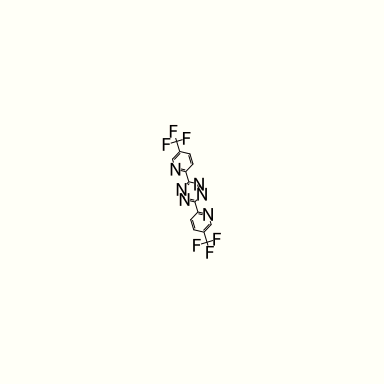 FC(F)(F)c1ccc(-c2nnc(-c3ccc(C(F)(F)F)cn3)nn2)nc1